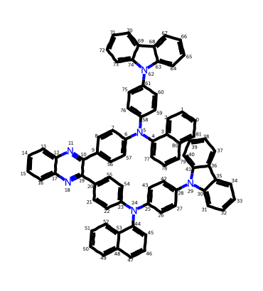 c1ccc2c(N(c3ccc(-c4nc5ccccc5nc4-c4ccc(N(c5ccc(-n6c7ccccc7c7ccccc76)cc5)c5cccc6ccccc56)cc4)cc3)c3ccc(-n4c5ccccc5c5ccccc54)cc3)cccc2c1